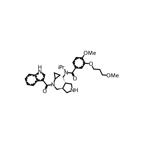 COCCCOc1cc(C(=O)N(C[C@@H]2CNC[C@H]2CN(C(=O)c2c[nH]c3ccccc23)C2CC2)C(C)C)ccc1OC